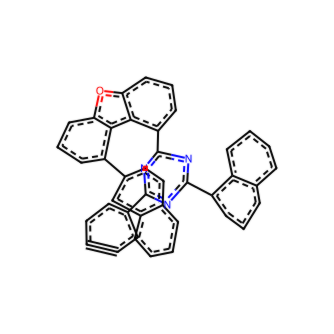 c1ccc(-c2nc(-c3cccc4ccccc34)nc(-c3cccc4oc5cccc(-c6ccc7ccccc7c6)c5c34)n2)cc#1